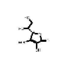 COC1=C(O)C(=O)O[C@@H]1C(O)CO